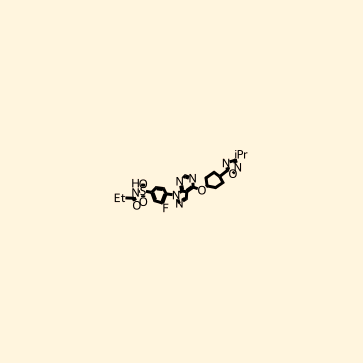 CCC(=O)NS(=O)(=O)c1ccc(-n2ncc3c(OC4CCC(c5nc(C(C)C)no5)CC4)ncnc32)c(F)c1